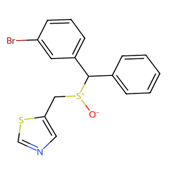 [O-][S+](Cc1cncs1)C(c1ccccc1)c1cccc(Br)c1